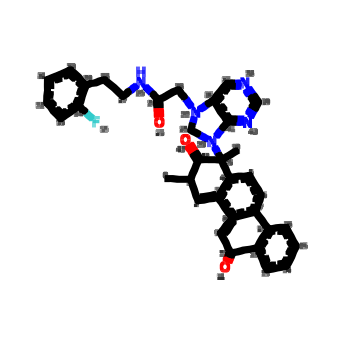 CC1C=c2c(ccc3c2=CC(=O)c2ccccc2-3)C(C)(N2CN(CC(=O)NCCc3ccccc3F)c3cncnc32)C1=O